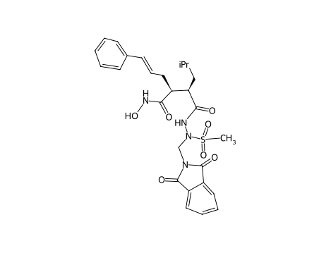 CC(C)C[C@@H](C(=O)NN(CN1C(=O)c2ccccc2C1=O)S(C)(=O)=O)[C@H](CC=Cc1ccccc1)C(=O)NO